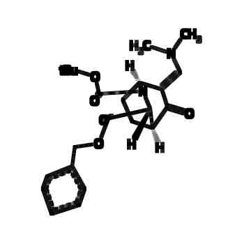 CN(C)/C=C1/C(=O)[C@H]2CC[C@@H]1N(C(=O)OC(C)(C)C)[C@H]2C(=O)OCc1ccccc1